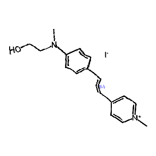 CN(CCO)c1ccc(/C=C/c2cc[n+](C)cc2)cc1.[I-]